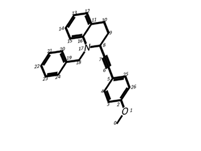 COc1ccc(C#CC2CCc3ccccc3N2Cc2ccccc2)cc1